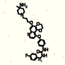 C[C@@H](NC(=O)Nc1ccc(Oc2ccnc3cc(OCCCN4CCC(C)(N)CC4)c4c(c23)OCCO4)cc1)c1ccc(F)cc1